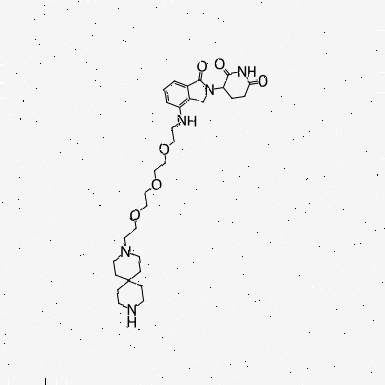 O=C1CCC(N2Cc3c(NCCOCCOCCOCCN4CCC5(CCNCC5)CC4)cccc3C2=O)C(=O)N1